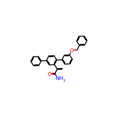 C=C(C(N)=O)c1cc(-c2ccccc2)ccc1-c1cccc(OCc2ccccc2)c1